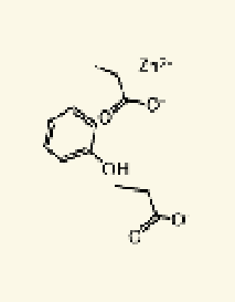 CCC(=O)[O-].CCC(=O)[O-].Oc1ccccc1.[Zn+2]